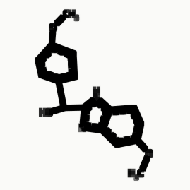 COc1ccc(C(O)c2nc3cc(OC)ccc3[nH]2)cc1